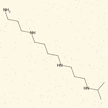 CC(C)NCCCNCCCCNCCCN